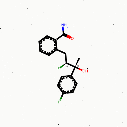 C[C@@](O)(c1ccc(F)cc1)[C@@H](F)Cc1ccccc1C(N)=O